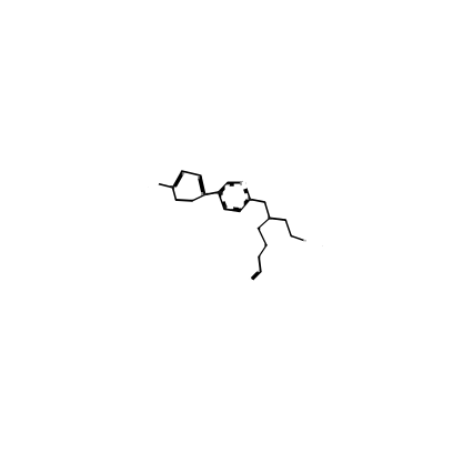 C=CCCCC(CCC)Cc1ccc(C2=CC=C(C)CC2)cn1